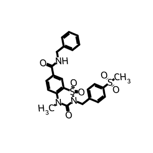 CN1C(=O)N(Cc2ccc(S(C)(=O)=O)cc2)S(=O)(=O)c2cc(C(=O)NCc3ccccc3)ccc21